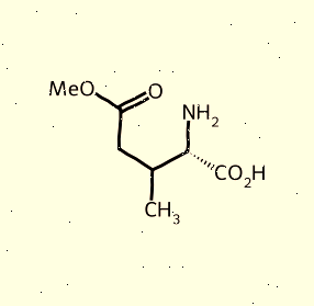 COC(=O)CC(C)[C@H](N)C(=O)O